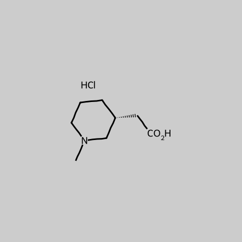 CN1CCC[C@H](CC(=O)O)C1.Cl